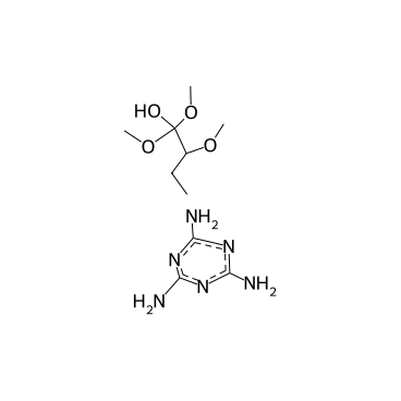 CCC(OC)C(O)(OC)OC.Nc1nc(N)nc(N)n1